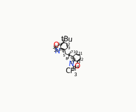 CC(C)(C)c1ccc(CC(C)(C)c2cccc3oc(C(F)(F)F)nc23)c2ncoc12